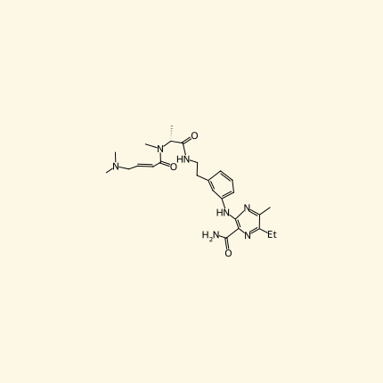 CCc1nc(C(N)=O)c(Nc2cccc(CCNC(=O)[C@@H](C)N(C)C(=O)/C=C/CN(C)C)c2)nc1C